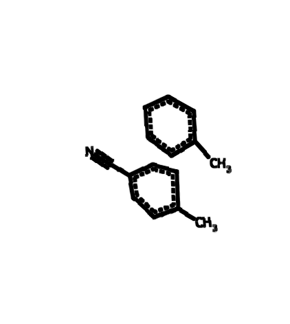 Cc1ccc(C#N)cc1.Cc1ccccc1